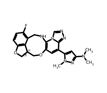 CN(C)c1cc(-c2cc3c(n4cnnc24)NCc2c(F)ccc4c2[C@@H](CO4)CO3)n(C)n1